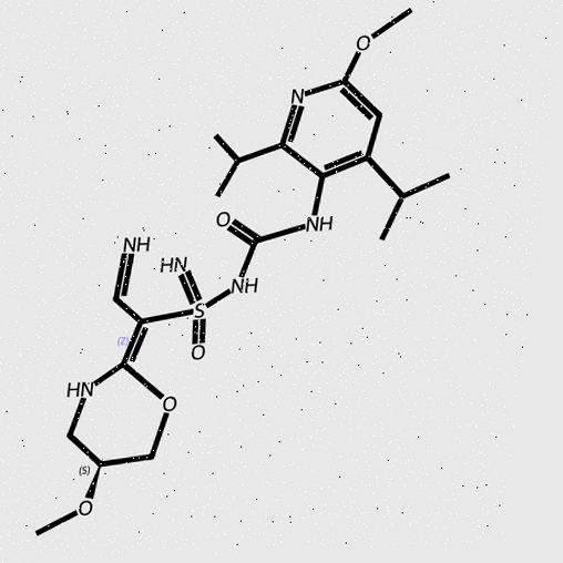 COc1cc(C(C)C)c(NC(=O)NS(=N)(=O)/C(C=N)=C2/NC[C@H](OC)CO2)c(C(C)C)n1